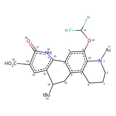 CC(=O)N1CCCc2c3c(cc(OC(F)F)c21)-c1[nH]c(=O)c(C(=O)O)cc1C(C(C)(C)C)C3